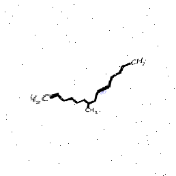 [CH2]CCC/C=C/CC(C)CCCCC[CH2]